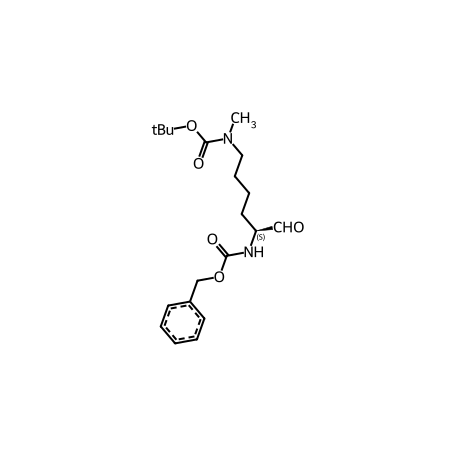 CN(CCCC[C@@H](C=O)NC(=O)OCc1ccccc1)C(=O)OC(C)(C)C